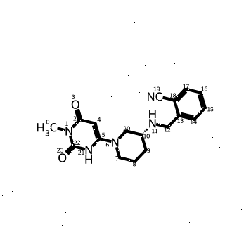 Cn1c(=O)cc(N2CCC[C@@H](NCc3ccccc3C#N)C2)[nH]c1=O